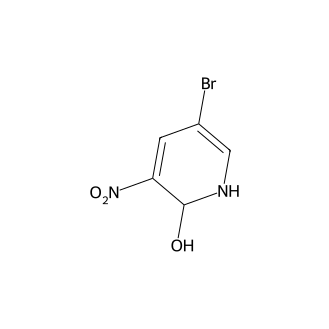 O=[N+]([O-])C1=CC(Br)=CNC1O